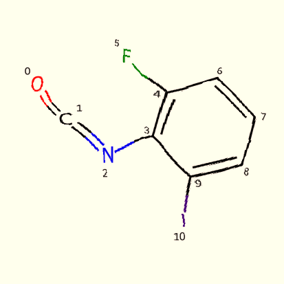 O=C=Nc1c(F)cccc1I